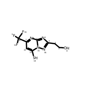 OCCc1nc2nc(C(F)(F)F)cc(S)n2n1